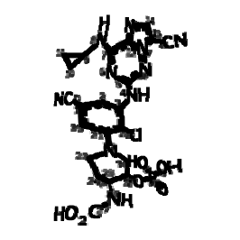 N#Cc1cc(Nc2nc(NC3CC3)c3ncc(C#N)n3n2)c(Cl)c(N2CC[C@@H](NC(=O)O)[C@@H](OP(=O)(O)O)C2)c1